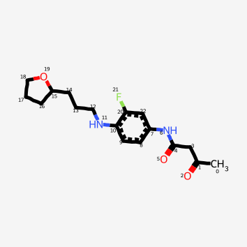 CC(=O)CC(=O)Nc1ccc(NCCCC2CCCO2)c(F)c1